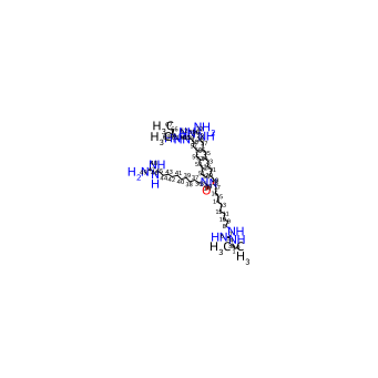 CC=C(C)NC(=N)NCCCCCCCCCCN(CCCCCCCCCCNC(=N)N)C(=O)N(CCCCCCCCCCNC(=N)N)CCCCCCCCCCNC(=N)NC(C)=CC